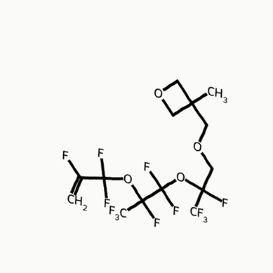 C=C(F)C(F)(F)OC(F)(C(F)(F)F)C(F)(F)OC(F)(COCC1(C)COC1)C(F)(F)F